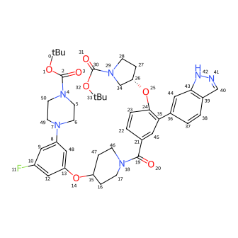 CC(C)(C)OC(=O)N1CCN(c2cc(F)cc(OC3CCN(C(=O)c4ccc(O[C@H]5CCN(C(=O)OC(C)(C)C)C5)c(-c5ccc6cn[nH]c6c5)c4)CC3)c2)CC1